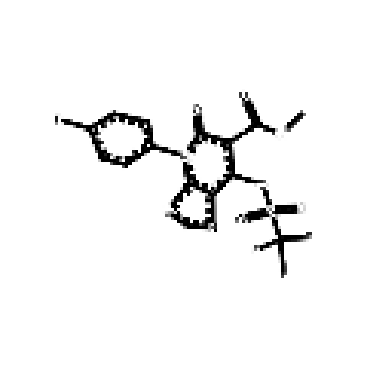 COC(=O)c1c(OS(=O)(=O)C(F)(F)F)c2ncsc2n(-c2ccc(F)cc2)c1=O